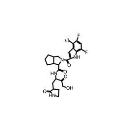 O=C1NCCC1CC(NC(=O)C1C2CCCC2CN1C(=O)c1cc2c(Cl)c(F)cc(F)c2[nH]1)C(=O)CO